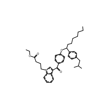 CCCCCCCC(Oc1ccc(C(=O)c2cn(CCCC(=O)OCC)c3ccccc23)cc1)c1ccc(CC(C)C)cc1